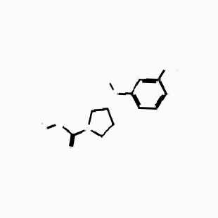 CC(=O)N(c1cccc(C(=O)O)c1)[C@@H]1CCN(C(=O)OC(C)(C)C)C1